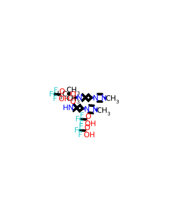 CN1CCN(C2CC3(C2)CN(C(=O)OC(C)(C)C)C3)CC1.CN1CCN(C2CC3(CNC3)C2)CC1.O=C(O)C(F)(F)F.O=C(O)C(F)(F)F.O=C(O)C(F)(F)F